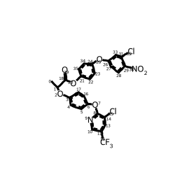 CC(Oc1ccc(Oc2ncc(C(F)(F)F)cc2Cl)cc1)C(=O)Oc1ccc(Oc2ccc([N+](=O)[O-])c(Cl)c2)cc1